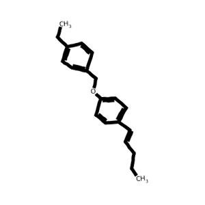 CCCC=Cc1ccc(OCc2ccc(CC)cc2)cc1